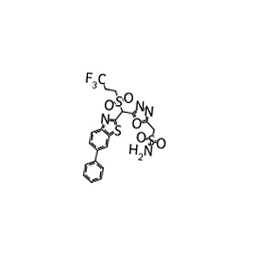 NS(=O)(=O)Cc1nnc(C(c2nc3ccc(-c4ccccc4)cc3s2)S(=O)(=O)CCC(F)(F)F)o1